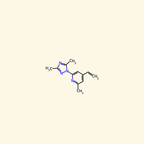 C=Cc1cc(C)nc(-n2nc(C)nc2C)c1